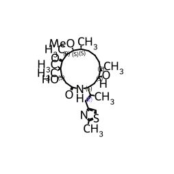 CO[C@H]1[C@@H](C)CCC[C@@]2(C)O[C@H]2C[C@@H](/C(C)=C/c2csc(C)n2)NC(=O)C[C@H](O)C(C)(C)C(=O)[C@@H]1C